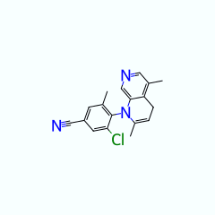 CC1=CCc2c(C)cncc2N1c1c(C)cc(C#N)cc1Cl